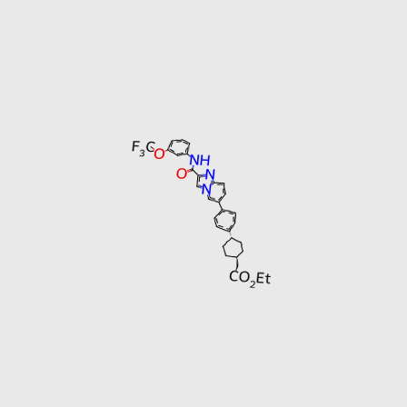 CCOC(=O)C[C@H]1CC[C@H](c2ccc(-c3ccc4nc(C(=O)Nc5cccc(OC(F)(F)F)c5)cn4c3)cc2)CC1